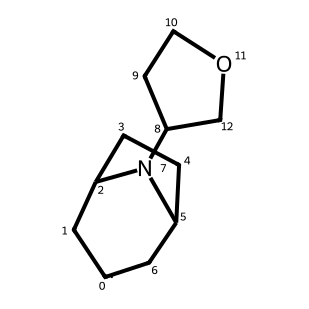 [CH]1CC2CCC(C1)N2C1CCOC1